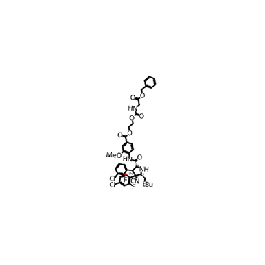 COc1cc(C(=O)OCCOC(=O)NCC(=O)OCc2ccccc2)ccc1NC(=O)[C@@H]1N[C@@H](CC(C)(C)C)[C@](C#N)(c2ccc(Cl)cc2F)[C@H]1c1cccc(Cl)c1F